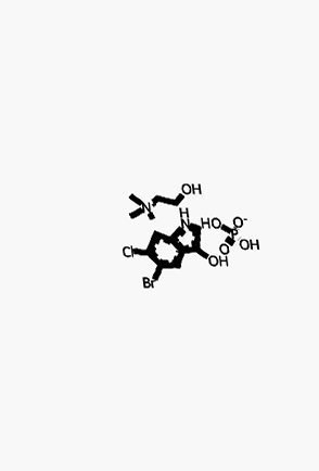 C[N+](C)(C)CCO.O=P([O-])(O)O.Oc1c[nH]c2cc(Cl)c(Br)cc12